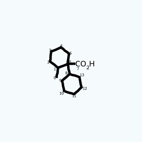 CC1CCCCC1(C(=O)O)C1CCCCC1